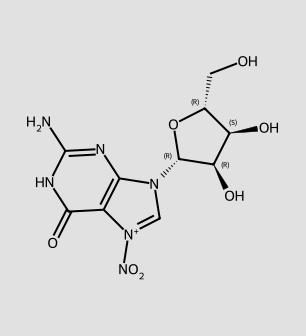 Nc1nc2c(c(=O)[nH]1)[n+]([N+](=O)[O-])cn2[C@@H]1O[C@H](CO)[C@@H](O)[C@H]1O